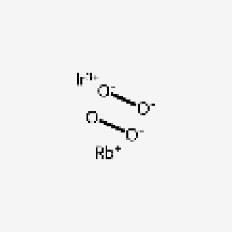 [Ir+3].[O-][O-].[O-][O-].[Rb+]